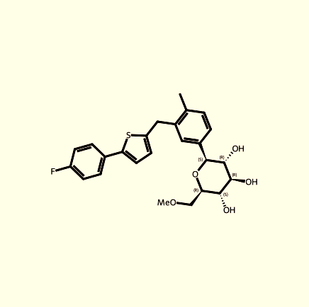 COC[C@H]1O[C@@H](c2ccc(C)c(Cc3ccc(-c4ccc(F)cc4)s3)c2)[C@H](O)[C@@H](O)[C@@H]1O